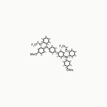 COc1ccc(N(c2ccc(-c3ccc(N(c4ccc(OC)cc4)c4ccccc4OCC(F)(F)F)cc3)cc2)c2ccccc2OCC(F)(F)F)cc1